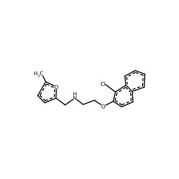 Cc1ccc(CNCCOc2ccc3ccccc3c2Cl)o1